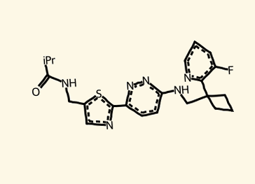 CC(C)C(=O)NCc1cnc(-c2ccc(NCC3(c4ncccc4F)CCC3)nn2)s1